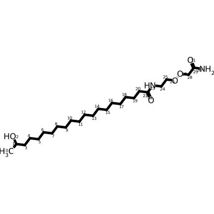 CC(O)CCCCCCCCCCCCCCCCCCC(=O)NCCOOCC(N)=O